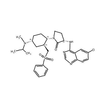 CC(C)N(C)[C@@H]1CC[C@H](N2CC[C@H](Nc3ncnc4ncc(Cl)cc34)C2=O)[C@@H](CS(=O)(=O)c2ccccc2)C1